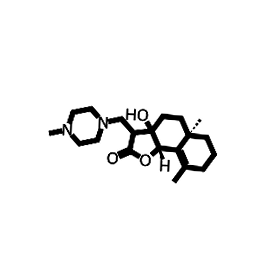 CC1=C2[C@@H]3OC(=O)C(CN4CCN(C)CC4)C3(O)CC[C@@]2(C)CCC1